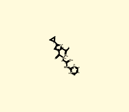 C=C1c2cc(C3CC3)oc2C(C)=NN1CC(=O)Nc1ncccn1